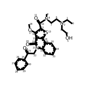 CCN(CCO)CCN(C)C(=O)c1sc2c(c1OC)c(=O)n(CC(=O)c1ccccc1)c1ccccc21